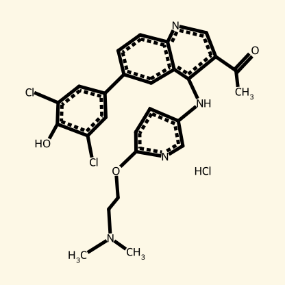 CC(=O)c1cnc2ccc(-c3cc(Cl)c(O)c(Cl)c3)cc2c1Nc1ccc(OCCN(C)C)nc1.Cl